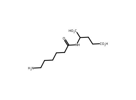 NCCCCCC(=O)NC(CCC(=O)O)C(=O)O